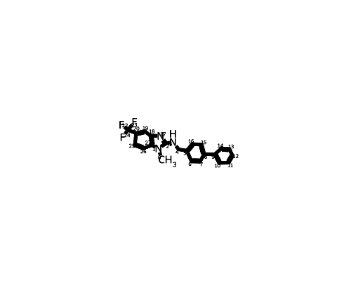 Cn1c(NCc2ccc(-c3ccccc3)cc2)nc2cc(C(F)(F)F)ccc21